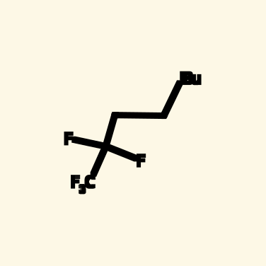 CCC(C)CCC(F)(F)C(F)(F)F